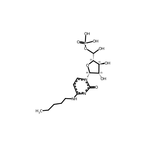 CCCCCNc1ccn([C@@H]2O[C@H](C(O)OP(=O)(O)O)[C@@H](O)[C@@H]2O)c(=O)n1